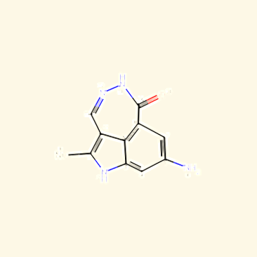 N#Cc1[nH]c2cc(N)cc3c2c1C=NNC3=O